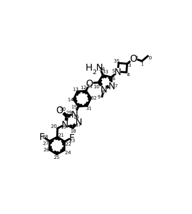 CCOC1CN(c2nn(C)c(Oc3ccc(-n4ncn(Cc5c(F)cccc5F)c4=O)cc3)c2N)C1